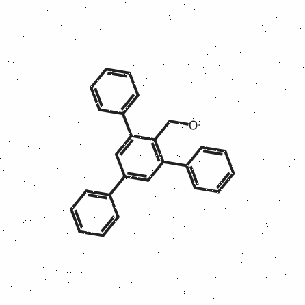 [O]Cc1c(-c2ccccc2)cc(-c2ccccc2)cc1-c1ccccc1